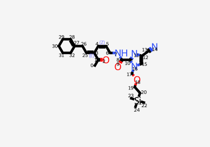 CC(=O)C(/C=C\CNC(=O)c1nc(C#N)cn1COCC[Si](C)(C)C)=C/CC1=CCCCC1